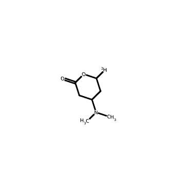 [2H]C1CC(N(C)C)CC(=O)O1